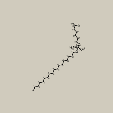 CCCCCCCCCCCCCCCCCCO[PH](N)(O)OCCCCCC(C)C